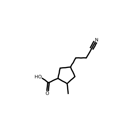 CC1CC(CCC#N)CC1C(=O)O